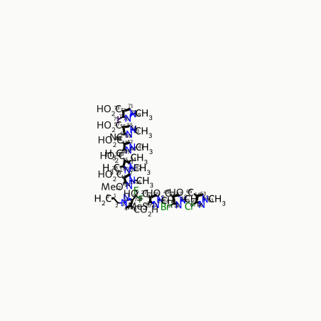 C=CCn1cc(C(=O)O)c(C(F)F)n1.COc1nn(C)cc1C(=O)O.CSc1nn(C)cc1C(=O)O.Cc1nn(C)c(C)c1C(=O)O.Cc1nn(C)cc1C(=O)O.Cn1cc(C(=O)O)c(Br)n1.Cn1cc(C(=O)O)c(C#N)n1.Cn1cc(C(=O)O)c(Cl)n1.Cn1cc(C(=O)O)c(I)n1